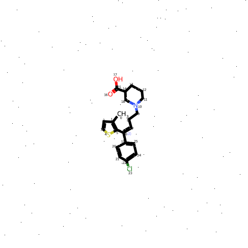 Cc1ccsc1/C(=C\CCN1CCCC(C(=O)O)C1)c1ccc(Cl)cc1